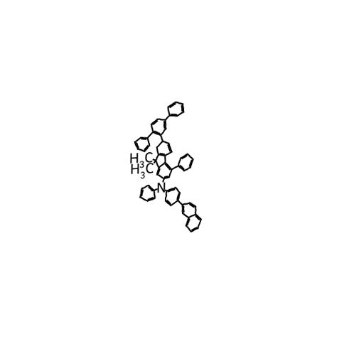 CC1(C)C2=C(C=CC(c3cc(-c4ccccc4)ccc3-c3ccccc3)C2)c2c(-c3ccccc3)cc(N(c3ccccc3)c3ccc(-c4ccc5ccccc5c4)cc3)cc21